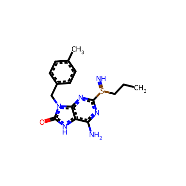 CCCS(=N)c1nc(N)c2[nH]c(=O)n(Cc3ccc(C)cc3)c2n1